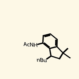 CCCCC1CC(C)(C)c2cccc(NC(C)=O)c21